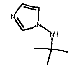 CC(C)(C)Nn1ccnc1